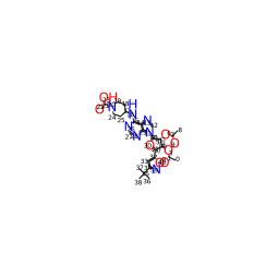 CC(=O)O[C@@H]1[C@H](OC(C)=O)[C@H](n2cnc3c(NC4CCN(C(=O)O)CC4)ncnc32)O[C@@H]1c1cc(C(C)(C)C)no1